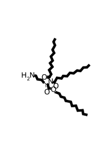 CCCCCCCCCCCCOC(=O)[C@H](CCCCN)N(C(=O)CCCCCCCCCCC)C(=O)CCCCCCCCCCC